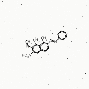 C=Nc1c(S(=O)(=O)O)cc2ccc(N=Nc3ccccc3)c(C)c2c1C